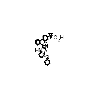 Cc1noc(-c2ccccc2-c2ccc(C3(C(=O)O)CC3)cc2)c1Nc1cccc(Oc2ccccc2)n1